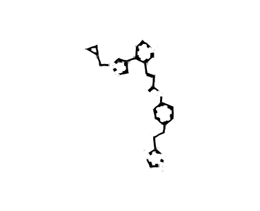 O=C(C=Cc1cnccc1-c1cnn(CC2CC2)c1)Nc1ccc(CCc2nnco2)cc1